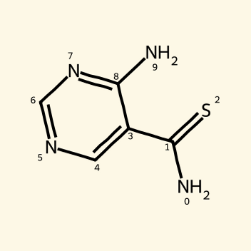 NC(=S)c1cncnc1N